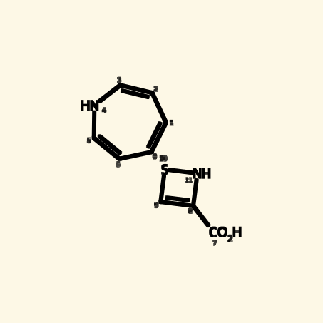 C1=CC=CNC=C1.O=C(O)c1cs[nH]1